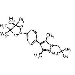 Cc1nn(CC(C)(C)O)c(C)c1-c1ccc(B2OC(C)(C)C(C)(C)O2)cc1